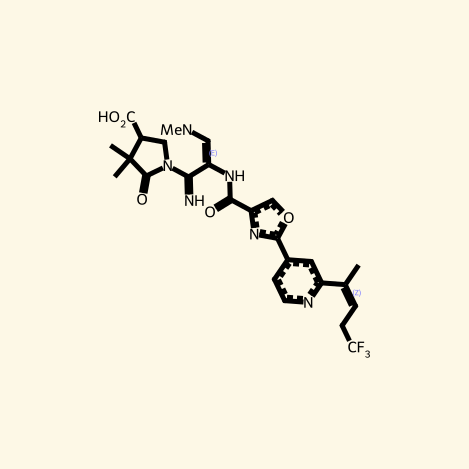 CN/C=C(/NC(=O)c1coc(-c2ccnc(/C(C)=C\CC(F)(F)F)c2)n1)C(=N)N1CC(C(=O)O)C(C)(C)C1=O